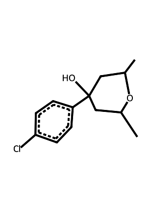 CC1CC(O)(c2ccc(Cl)cc2)CC(C)O1